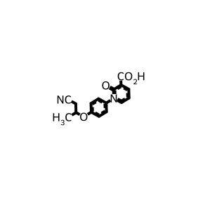 CC(CC#N)Oc1ccc(-n2cccc(C(=O)O)c2=O)cc1